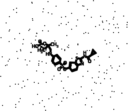 CC(C)(CNc1ccc(S(=O)(=O)Oc2ccc3nc(NC(=O)C4CC4)sc3c2)cc1)OP(=O)(O)O